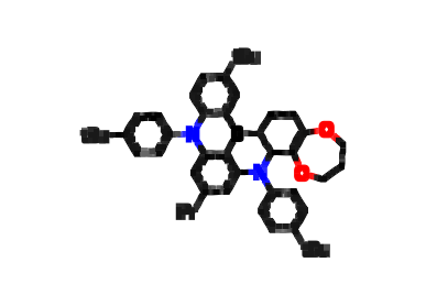 CC(C)c1cc2c3c(c1)N(c1ccc(C(C)(C)C)cc1)C1C4=C(C=CC1B3c1cc(C(C)(C)C)ccc1N2c1ccc(C(C)(C)C)cc1)OCCCO4